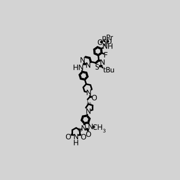 CCCS(=O)(=O)Nc1cccc(-c2nc(C(C)(C)C)sc2-c2ccnc(Nc3ccc(C4CCN(C(=O)C[C@@H]5CCN(c6ccc7c(c6)n(C)c(=O)n7[C@@H]6CCC(=O)NC6=O)C5)CC4)cc3)n2)c1F